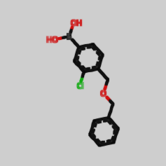 OB(O)c1ccc(COCc2ccccc2)c(Cl)c1